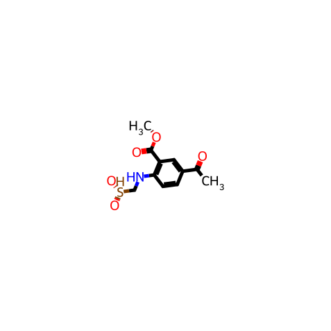 COC(=O)c1cc(C(C)=O)ccc1NC[SH](=O)=O